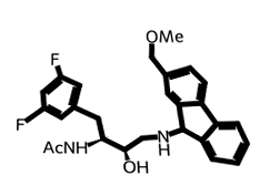 COCc1ccc2c(c1)C(NC[C@@H](O)[C@H](Cc1cc(F)cc(F)c1)NC(C)=O)c1ccccc1-2